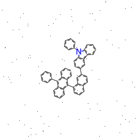 c1ccc(-c2c3ccccc3c(-c3cccc4ccc(-c5ccc6c(c5)c5ccccc5n6-c5ccccc5)cc34)c3ccccc23)cc1